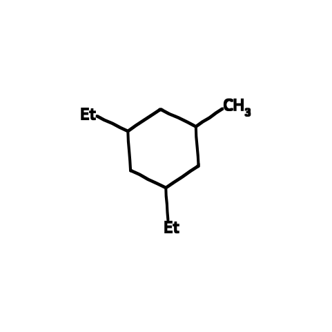 CCC1CC(C)CC(CC)C1